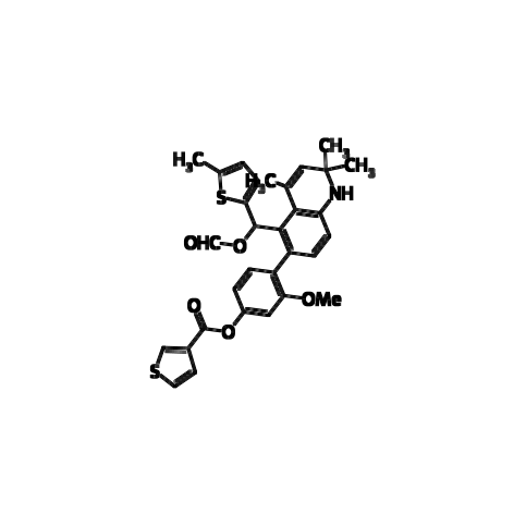 COc1cc(OC(=O)c2ccsc2)ccc1-c1ccc2c(c1C(OC=O)c1ccc(C)s1)C(C)=CC(C)(C)N2